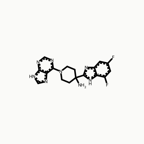 NC1(c2nc3cc(F)cc(F)c3[nH]2)CCN(c2ncnc3[nH]cnc23)CC1